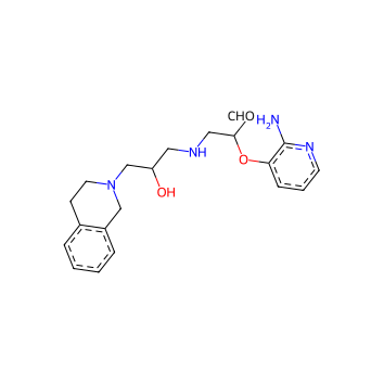 Nc1ncccc1OC(C=O)CNCC(O)CN1CCc2ccccc2C1